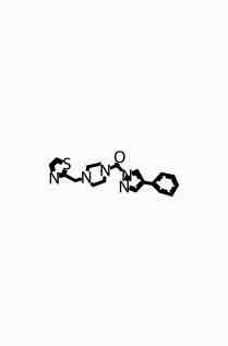 O=C(N1CCN(Cc2nccs2)CC1)n1cc(-c2ccccc2)cn1